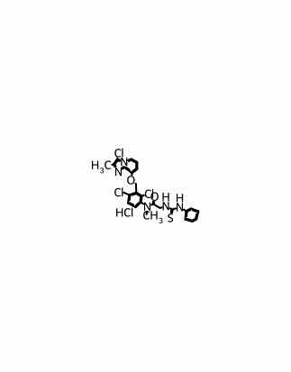 Cc1nc2c(OCc3c(Cl)ccc(N(C)C(=O)CNC(=S)Nc4ccccc4)c3Cl)cccn2c1Cl.Cl